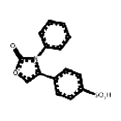 O=c1occ(-c2ccc(S(=O)(=O)O)cc2)n1-c1ccccc1